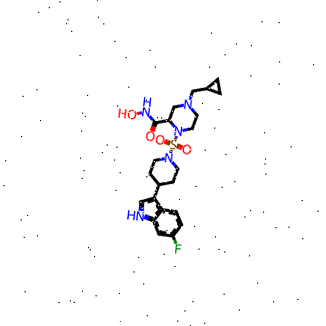 O=C(NO)C1CN(CC2CC2)CCN1S(=O)(=O)N1CCC(c2c[nH]c3cc(F)ccc23)CC1